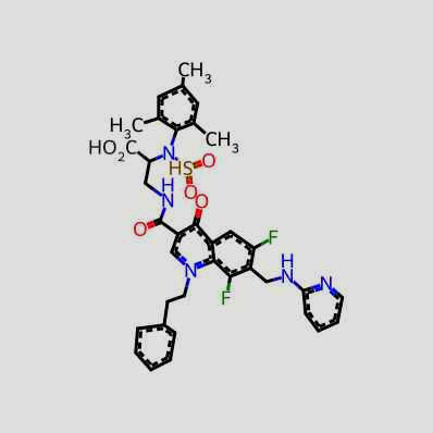 Cc1cc(C)c(N(C(CNC(=O)c2cn(CCc3ccccc3)c3c(F)c(CNc4ccccn4)c(F)cc3c2=O)C(=O)O)[SH](=O)=O)c(C)c1